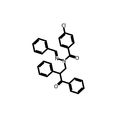 O=C(c1ccccc1)C(CN(N=Cc1ccccc1)C(=O)c1ccc(Cl)cc1)c1ccccc1